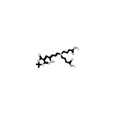 CC1(C)OC(=O)C(=C/C(O)=C/C=C/N(CCCC(N)=O)CCCC(N)=O)C(=O)O1